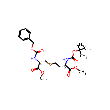 COC(=O)[C@H](CCSC[C@@H](NC(=O)OCc1ccccc1)C(=O)OC)NC(=O)OC(C)(C)C